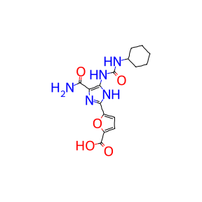 NC(=O)c1nc(-c2ccc(C(=O)O)o2)[nH]c1NC(=O)NC1CCCCC1